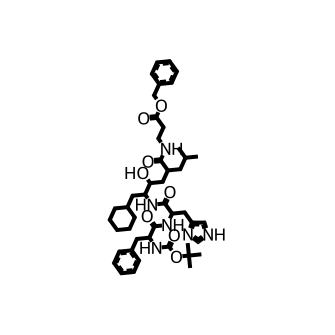 CC(C)CC(CC(O)C(CC1CCCCC1)NC(=O)C(Cc1c[nH]cn1)NC(=O)C(Cc1ccccc1)NC(=O)OC(C)(C)C)C(=O)NCCC(=O)OCc1ccccc1